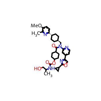 COc1ccc([C@H]2CC[C@H](CN(C(=O)C3CCC(OC(=O)NC(C)CO)CC3)c3cc(-c4coc(C5CC5)n4)ccn3)CC2)nc1C